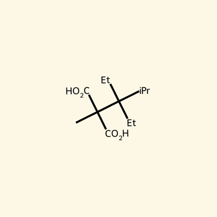 CCC(CC)(C(C)C)C(C)(C(=O)O)C(=O)O